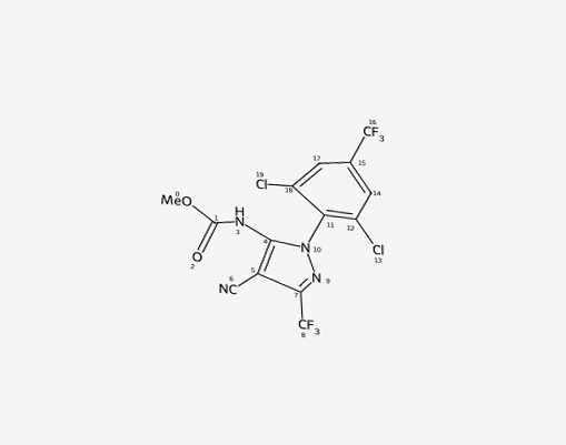 COC(=O)Nc1c(C#N)c(C(F)(F)F)nn1-c1c(Cl)cc(C(F)(F)F)cc1Cl